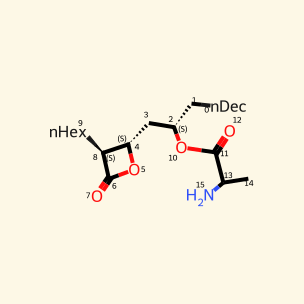 CCCCCCCCCCC[C@@H](C[C@@H]1OC(=O)[C@H]1CCCCCC)OC(=O)C(C)N